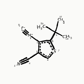 [C-]#[N+]c1c(C#N)csc1C(C)(C)C